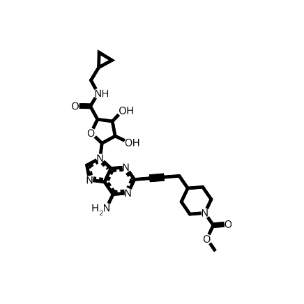 COC(=O)N1CCC(CC#Cc2nc(N)c3ncn(C4OC(C(=O)NCC5CC5)C(O)C4O)c3n2)CC1